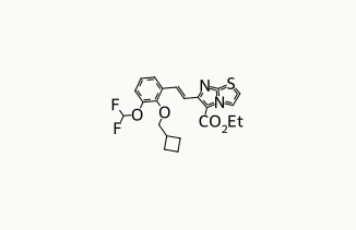 CCOC(=O)c1c(C=Cc2cccc(OC(F)F)c2OCC2CCC2)nc2sccn12